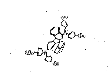 CC(C)(C)c1ccc(N(c2ccc(C(C)(C)C)cc2)c2ccc3c(c2)C2(c4cc(N(c5ccc(C(C)(C)C)cc5)c5ccc(C(C)(C)C)cc5)c5ccccc5c4-3)C3CC4CC(C3)CC2C4)cc1